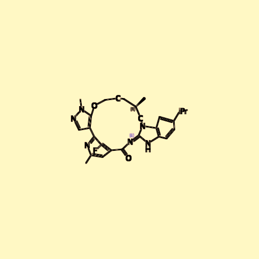 Cc1cc2c(F)c(n1)-c1cnn(C)c1OCCC[C@@H](C)CN1/C(=N/C2=O)Nc2ccc(C(C)C)cc21